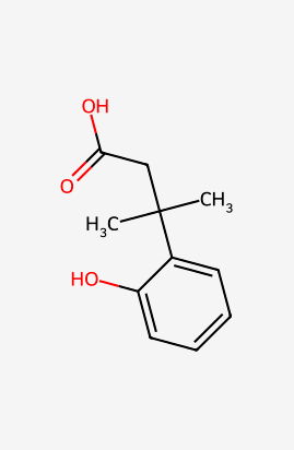 CC(C)(CC(=O)O)c1ccccc1O